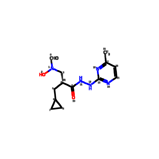 O=CN(O)C[C@@H](CC1CC1)C(=O)NNc1nccc(C(F)(F)F)n1